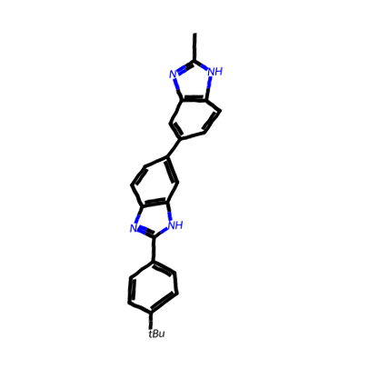 Cc1nc2cc(-c3ccc4nc(-c5ccc(C(C)(C)C)cc5)[nH]c4c3)ccc2[nH]1